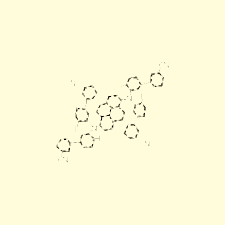 N#Cc1cccc(-c2ccc(F)c(N(c3cc(-c4cccc(C#N)c4)ccc3F)c3ccc4ccc5c(N(c6cc(-c7cccc(C#N)c7)ccc6F)c6cc(-c7cccc(C#N)c7)ccc6F)ccc6ccc3c4c65)c2)c1